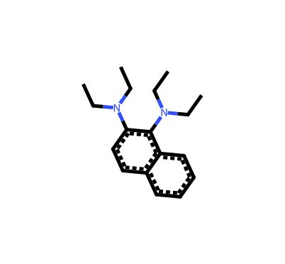 CCN(CC)c1ccc2ccccc2c1N(CC)CC